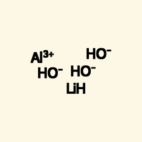 [Al+3].[LiH].[OH-].[OH-].[OH-]